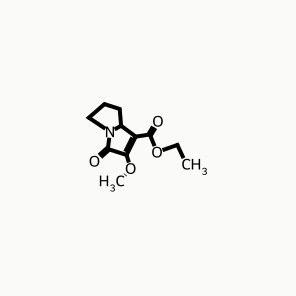 CCOC(=O)C1=C(OC)C(=O)N2CCCC12